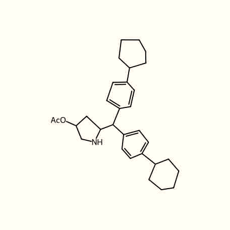 CC(=O)OC1CNC(C(c2ccc(C3CCCCC3)cc2)c2ccc(C3CCCCC3)cc2)C1